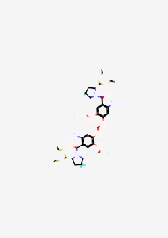 CCSC(SCC)[C@@H]1CC(F)(F)CN1C(=O)c1cc(OC)c(OCOc2cc(N)c(C(=O)N3CC(F)(F)C[C@H]3C(SCC)SCC)cc2OC)cc1N